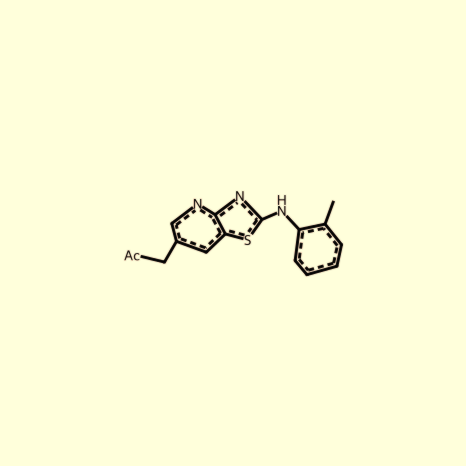 CC(=O)Cc1cnc2nc(Nc3ccccc3C)sc2c1